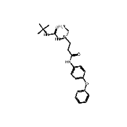 CC(C)(C)NC(=O)N[C@H](CN)CCC(=O)Nc1ccc(Oc2ccccc2)cc1